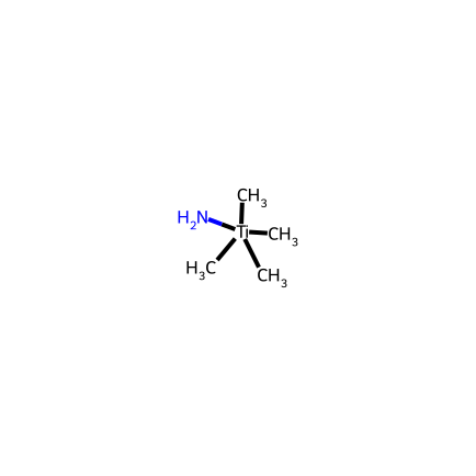 [CH3][Ti]([CH3])([CH3])([CH3])[NH2]